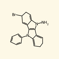 Nn1c2c(c3c1c1c(n3-c3ccccc3)=CCCC=1)=CC(Br)CC=2